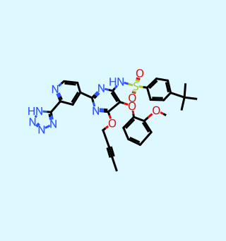 CC#CCOc1nc(-c2ccnc(-c3nnn[nH]3)c2)nc(NS(=O)(=O)c2ccc(C(C)(C)C)cc2)c1Oc1ccccc1OC